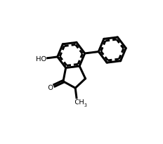 CC1Cc2c(-c3ccccc3)ccc(O)c2C1=O